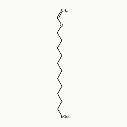 C=COCCCCCCCCCCCCCCCCCCC